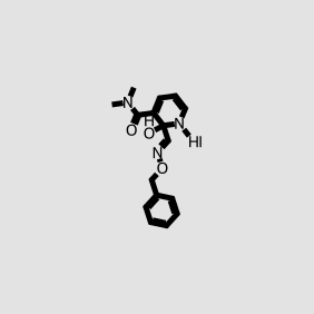 CN(C)C(=O)C1=CC=CN(C)C1(O)C=NOCc1ccccc1.I